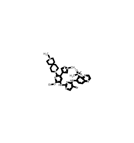 CCOc1nc(N2CCC3(CCN(C)CC3)CC2)c(-c2cnn(C)c2)cc1Nc1ncc(Br)c(Nc2ccc3nccnc3c2P(C)(C)=O)n1